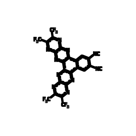 [C-]#[N+]c1cc2c(cc1[N+]#[C-])c1nc3nc(C(F)(F)F)c(C(F)(F)F)nc3nc1c1nc3nc(C(F)(F)F)c(C(F)(F)F)nc3nc21